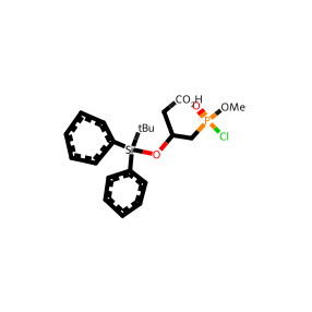 COP(=O)(Cl)CC(CC(=O)O)O[Si](c1ccccc1)(c1ccccc1)C(C)(C)C